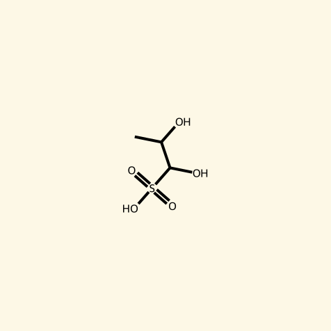 CC(O)C(O)S(=O)(=O)O